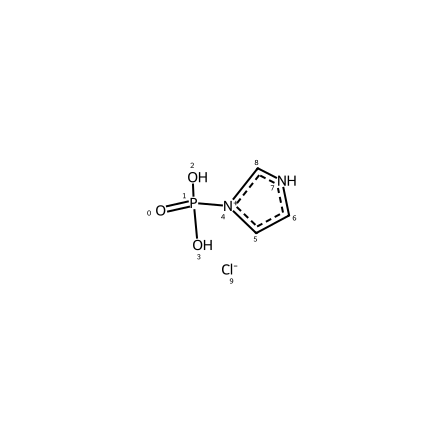 O=P(O)(O)[n+]1cc[nH]c1.[Cl-]